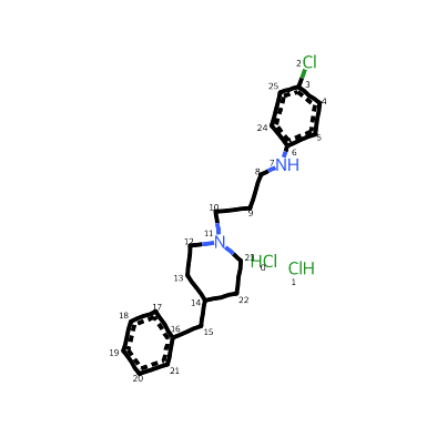 Cl.Cl.Clc1ccc(NCCCN2CCC(Cc3ccccc3)CC2)cc1